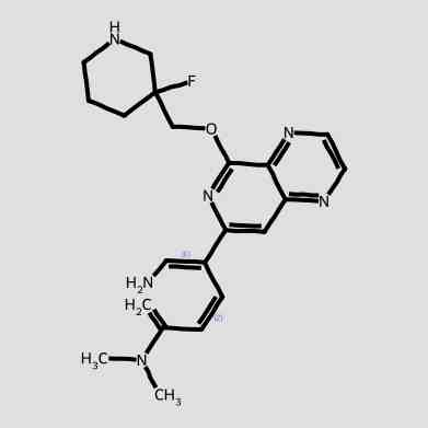 C=C(/C=C\C(=C/N)c1cc2nccnc2c(OCC2(F)CCCNC2)n1)N(C)C